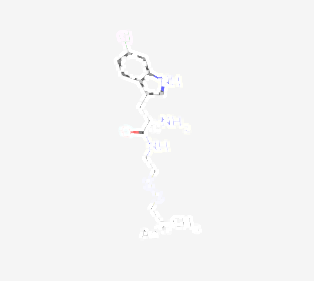 CC(=O)[C@@H](C)CSSCCNC(=O)[C@@H](N)Cc1c[nH]c2cc(Cl)ccc12